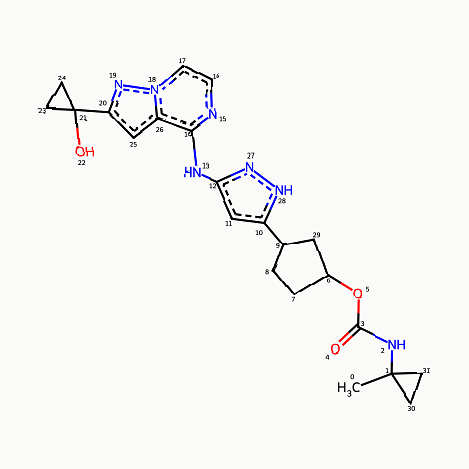 CC1(NC(=O)OC2CCC(c3cc(Nc4nccn5nc(C6(O)CC6)cc45)n[nH]3)C2)CC1